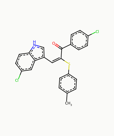 Cc1ccc(S/C(=C/c2c[nH]c3ccc(Cl)cc23)C(=O)c2ccc(Cl)cc2)cc1